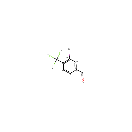 O=Cc1ccc(C(F)(F)F)c(I)c1